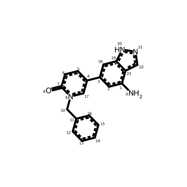 Nc1cc(-c2ccc(=O)n(Cc3ccccc3)c2)cc2[nH]ncc12